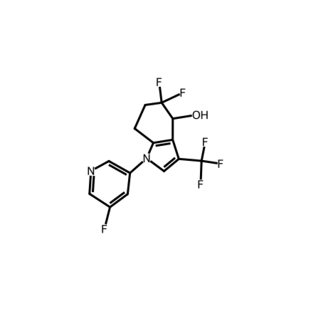 OC1c2c(C(F)(F)F)cn(-c3cncc(F)c3)c2CCC1(F)F